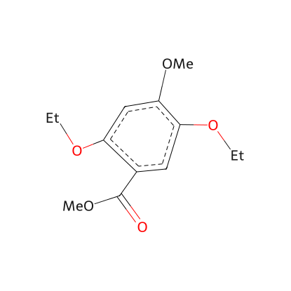 CCOc1cc(C(=O)OC)c(OCC)cc1OC